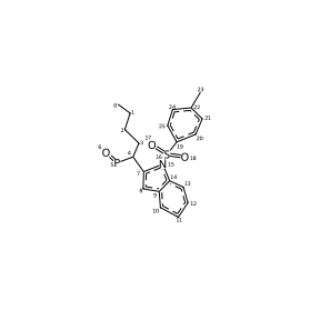 CCCCC(P=O)c1cc2ccccc2n1S(=O)(=O)c1ccc(C)cc1